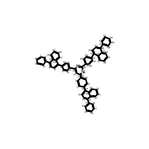 c1ccc(-c2ccc(-c3ccc(-c4cc(-c5ccc(-c6ccc(-c7ccccc7)c7ccccc67)cc5)nc(-c5ccc(-c6ccc(-c7ccccc7)c7ccccc67)cc5)n4)cc3)c3ccccc23)cc1